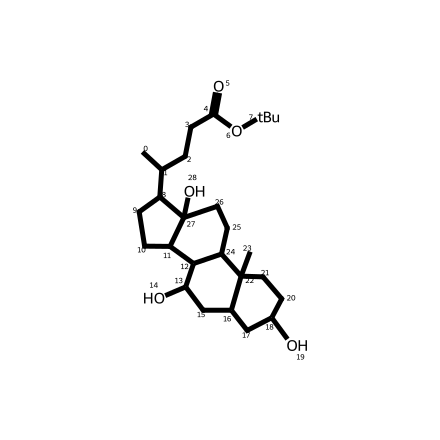 CC(CCC(=O)OC(C)(C)C)C1CCC2C3C(O)CC4CC(O)CCC4(C)C3CCC12O